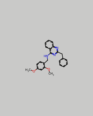 COc1ccc(CNc2nc(Cc3ccccc3)nc3ccccc23)c(OC)c1